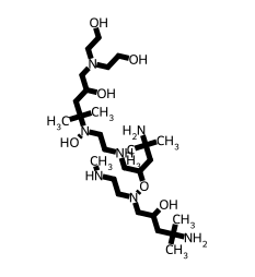 CNCCN(CC(O)CC(C)(C)N)OC(CNCCN(O)C(C)(C)CC(O)CN(CCO)CCO)CC(C)(C)N